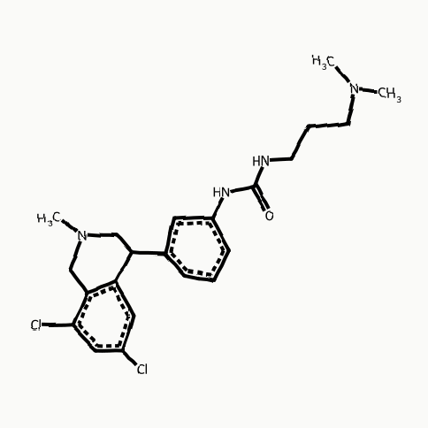 CN(C)CCCNC(=O)Nc1cccc(C2CN(C)Cc3c(Cl)cc(Cl)cc32)c1